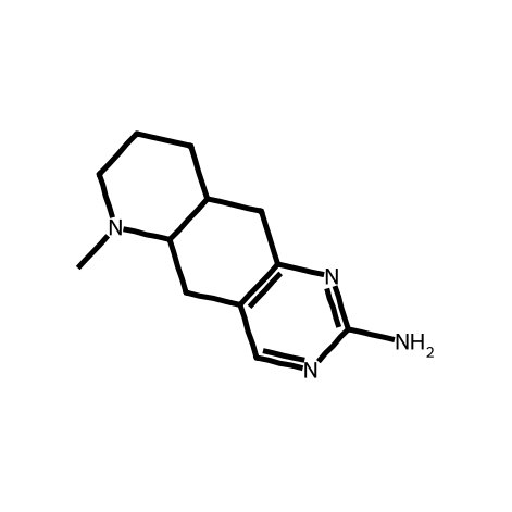 CN1CCCC2Cc3nc(N)ncc3CC21